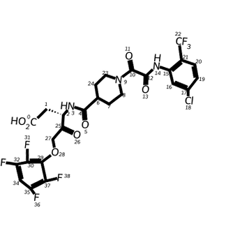 O=C(O)C[C@H](NC(=O)C1CCN(C(=O)C(=O)Nc2cc(Cl)ccc2C(F)(F)F)CC1)C(=O)COc1c(F)c(F)cc(F)c1F